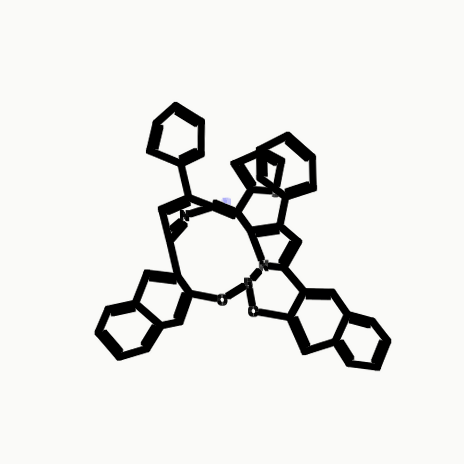 C1=C(c2ccccc2)/C2=C(\c3cccs3)c3c(-c4ccccc4)cc4n3B(Oc3cc5ccccc5cc3C1=N2)Oc1cc2ccccc2cc1-4